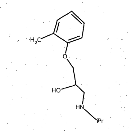 [CH2]c1ccccc1OCC(O)CNC(C)C